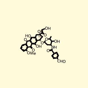 COc1cccc2c1C(=O)c1c(O)c3c(c(O)c1C2=O)C[C@@](O)(C(=O)CO)C[C@@H]3OC1CC(NC(=O)c2ccc(C=O)cc2)C(O)C(C)O1